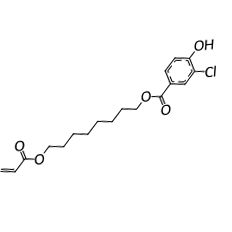 C=CC(=O)OCCCCCCCCOC(=O)c1ccc(O)c(Cl)c1